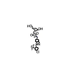 O=C1S/C(=C\c2ccc3c(cnn3Cc3ccc(Cl)cc3C(F)(F)F)c2)C(=O)N1C[C@@H]1C[C@@H](O)CN1CCO